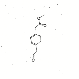 COC(=O)Cc1ccc(CC=O)cc1